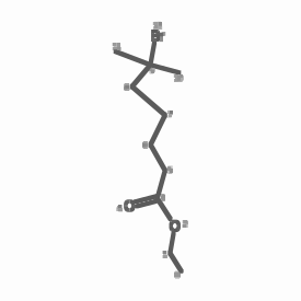 CCOC(=O)CCCCC(C)(C)Br